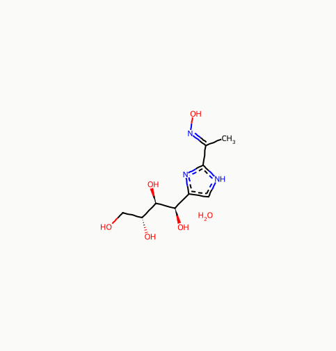 CC(=NO)c1nc([C@@H](O)[C@H](O)[C@H](O)CO)c[nH]1.O